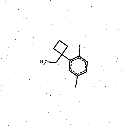 CCC1(c2cc(F)ccc2F)CCC1